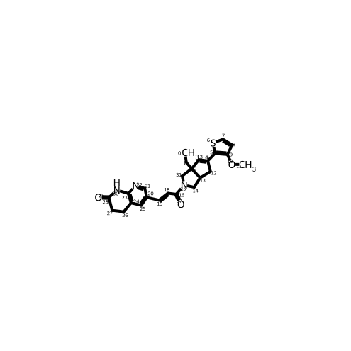 CCC12C=C(c3sccc3OC)CC1CN(C(=O)/C=C/c1cnc3c(c1)CCC(=O)N3)C2